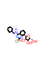 OC[C@H]1O[C@@H](c2cccc3c(NCc4ccccc4)nc(Cl)nc23)[C@H](O)[C@@H]1O